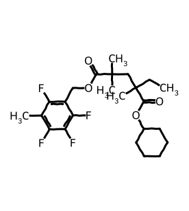 CCC(C)(CC(C)(C)C(=O)OCc1c(F)c(C)c(F)c(F)c1F)C(=O)OC1CCCCC1